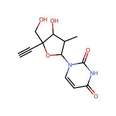 C#CC1(CO)OC(n2ccc(=O)[nH]c2=O)C(C)C1O